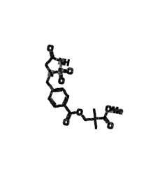 COC(=O)C(C)(C)COC(=O)c1ccc(CN2CC(=O)NS2(=O)=O)cc1